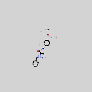 CN(C(=O)OC(C)(C)C)c1ccc(-c2nc3ncn(Cc4ccccc4)c3c(=O)[nH]2)cc1